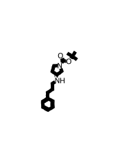 CC(C)(C)OC(=O)N1CC[C@@H](NCCCc2ccccc2)C1